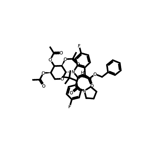 CC(=O)OC1[C@@H](OC(C)=O)[C@H](n2c(-c3ccc(F)cc3)c(C[C@@H]3CCCN3C(=O)[C@@H](NC(=O)OCc3ccccc3)C(C)(C)C)c3ccc(F)cc32)OC[C@H]1OC(C)=O